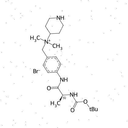 C[C@H](NC(=O)OC(C)(C)C)C(=O)Nc1ccc(C[N+](C)(C)C2CCNCC2)cc1.[Br-]